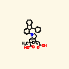 CC(C)(C[C@@H]1[C@H](CCC(=O)O)CCN1c1cccc2c1C(c1ccccc1)c1ccccc1-2)C(=O)O